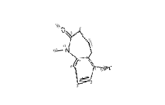 CC(C)c1cccc2c1CCC(=O)N2C